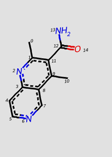 Cc1nc2ccncc2c(C)c1C(N)=O